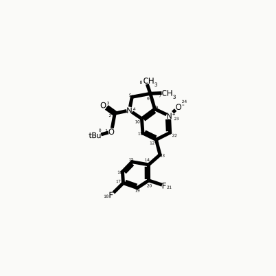 CC(C)(C)OC(=O)N1CC(C)(C)c2c1cc(Cc1ccc(F)cc1F)c[n+]2[O-]